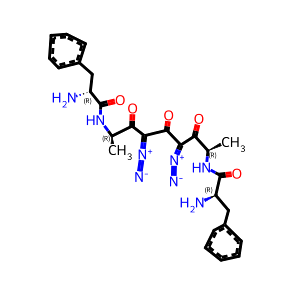 C[C@@H](NC(=O)[C@H](N)Cc1ccccc1)C(=O)C(=[N+]=[N-])C(=O)C(=[N+]=[N-])C(=O)[C@@H](C)NC(=O)[C@H](N)Cc1ccccc1